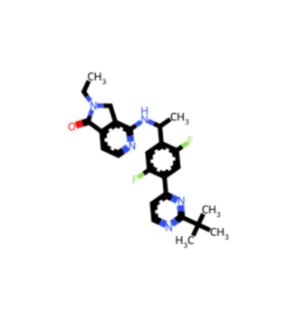 CCN1Cc2c(ccnc2NC(C)c2cc(F)c(-c3ccnc(C(C)(C)C)n3)cc2F)C1=O